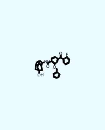 O=C(c1ccc(C(=O)NC2C3CC4CC2CC(O)(C4)C3)c(OCc2ccccc2)c1)c1ccccc1F